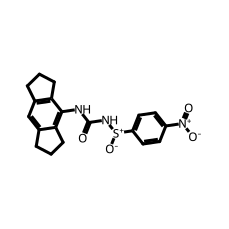 O=C(Nc1c2c(cc3c1CCC3)CCC2)N[S+]([O-])c1ccc([N+](=O)[O-])cc1